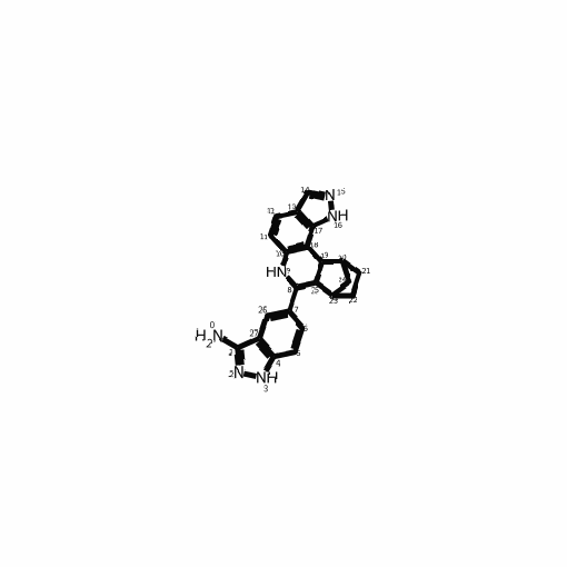 Nc1n[nH]c2ccc(C3Nc4ccc5cn[nH]c5c4C4C5CCC(C5)C34)cc12